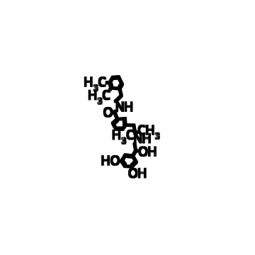 Cc1cccc(CCNC(=O)c2cccc(CC(C)(C)NCC(O)c3cc(O)cc(O)c3)c2)c1C